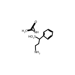 C=C1NC1=O.NCCC(c1ccccc1)S(=O)(=O)O